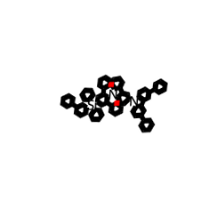 c1ccc(-c2cccc([Si](c3ccccc3)(c3ccccc3)c3cc(-c4ccccc4)c(-n4c5ccccc5c5cc(-n6c7ccc(-c8ccccc8)cc7c7cc(-c8ccccc8)ccc76)ccc54)c(-c4ccccc4)c3)c2)cc1